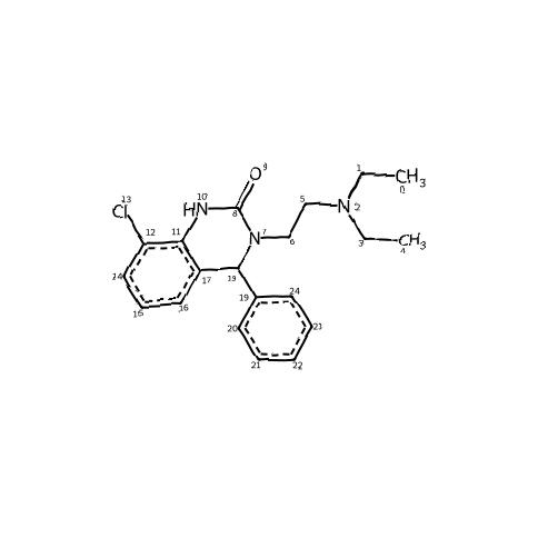 CCN(CC)CCN1C(=O)Nc2c(Cl)cccc2C1c1ccccc1